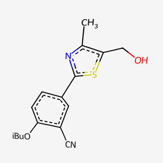 Cc1nc(-c2ccc(OCC(C)C)c(C#N)c2)sc1CO